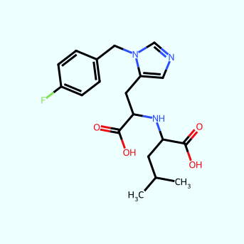 CC(C)CC(NC(Cc1cncn1Cc1ccc(F)cc1)C(=O)O)C(=O)O